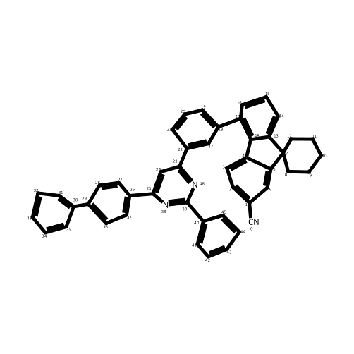 N#Cc1ccc2c(c1)C1(CCCCC1)c1cccc(-c3cccc(-c4cc(-c5ccc(-c6ccccc6)cc5)nc(-c5ccccc5)n4)c3)c1-2